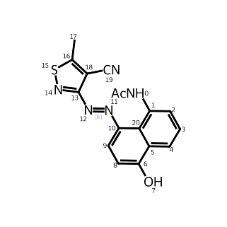 CC(=O)Nc1cccc2c(O)ccc(/N=N/c3nsc(C)c3C#N)c12